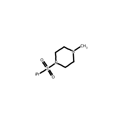 CC(C)S(=O)(=O)N1CCN(C)CC1